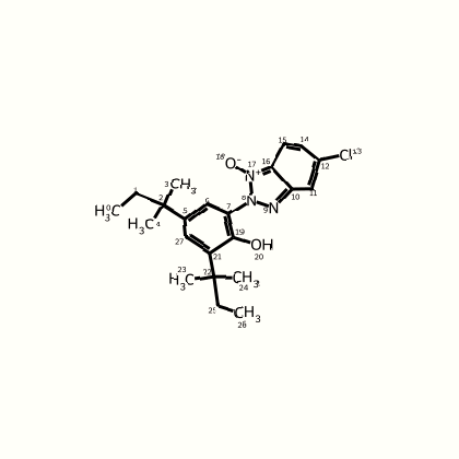 CCC(C)(C)c1cc(-n2nc3cc(Cl)ccc3[n+]2[O-])c(O)c(C(C)(C)CC)c1